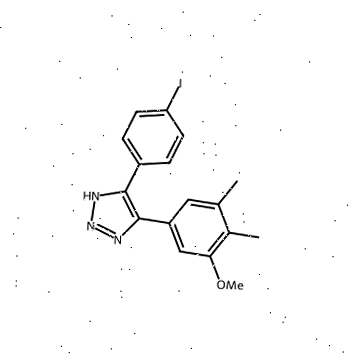 COc1cc(-c2nn[nH]c2-c2ccc(I)cc2)cc(C)c1C